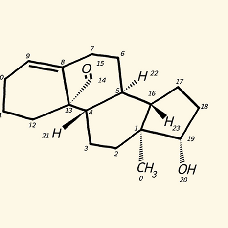 C[C@]12CC[C@H]3[C@@H](CCC4=CCCC[C@@]43C=O)[C@@H]1CC[C@@H]2O